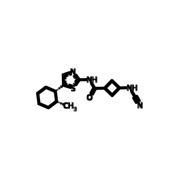 C[C@@H]1CCCC[C@@H]1c1cnc(NC(=O)C2CC(NC#N)C2)s1